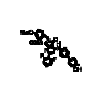 COc1ccc(CN2Cc3nc(-c4c(F)cccc4F)cc(Nc4ccc(N5CCC(C)(O)CC5)cn4)c3C2=O)c(OC)c1